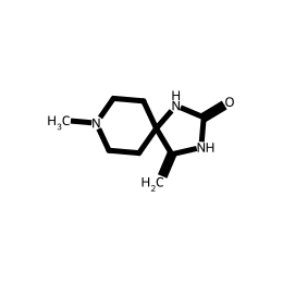 C=C1NC(=O)NC12CCN(C)CC2